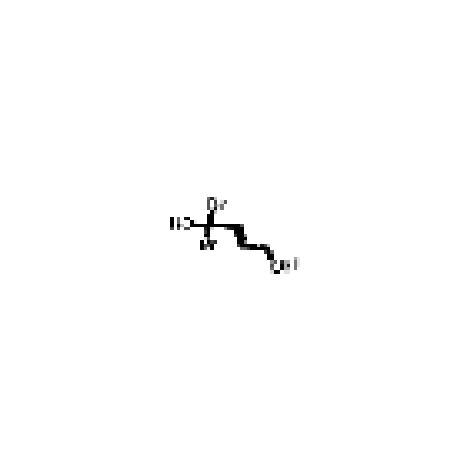 OCC=CC(O)(Br)Br